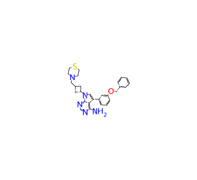 Nc1ncnc2c1c(-c1cccc(OCc3ccccc3)c1)cn2C1CC(CN2CCSCC2)C1